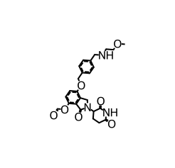 COCCNCc1ccc(COc2ccc(OC=O)c3c2CN(C2CCC(=O)NC2=O)C3=O)cc1